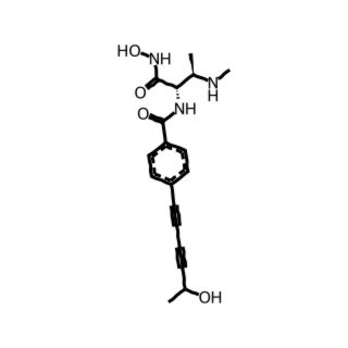 CN[C@H](C)[C@H](NC(=O)c1ccc(C#CC#CC(C)O)cc1)C(=O)NO